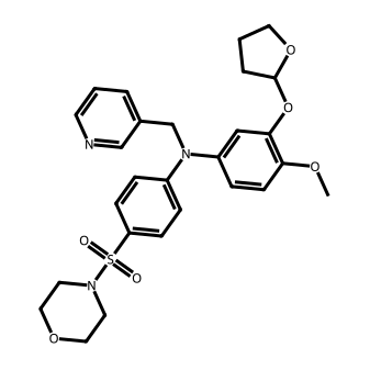 COc1ccc(N(Cc2cccnc2)c2ccc(S(=O)(=O)N3CCOCC3)cc2)cc1OC1CCCO1